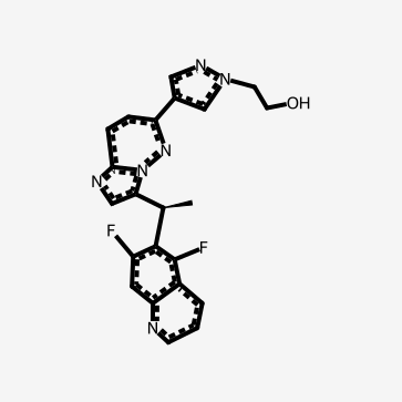 C[C@@H](c1c(F)cc2ncccc2c1F)c1cnc2ccc(-c3cnn(CCO)c3)nn12